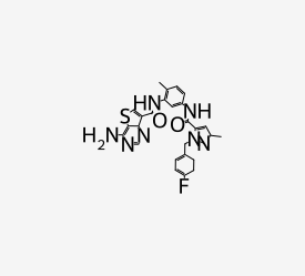 Cc1cc(C(=O)Nc2ccc(C)c(NC(=O)c3csc4c(N)ncnc34)c2)n(CC2=CC=C(F)CC2)n1